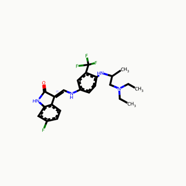 CCN(CC)CC(C)Nc1ccc(N/C=C2/C(=O)Nc3cc(F)ccc32)cc1C(F)(F)F